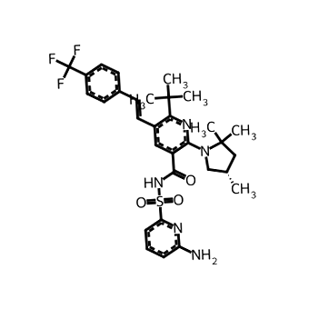 C[C@@H]1CN(c2nc(C(C)(C)C)c(/C=C/c3ccc(C(F)(F)F)cc3)cc2C(=O)NS(=O)(=O)c2cccc(N)n2)C(C)(C)C1